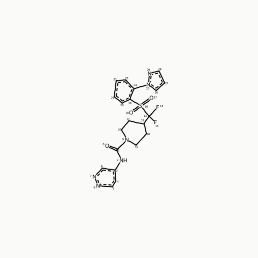 O=C(Nc1ccnnc1)N1CCC(C(F)(F)S(=O)(=O)c2ccccc2-n2cccn2)CC1